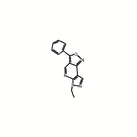 CCn1ncc2c3noc(-c4ccccc4)c3cnc21